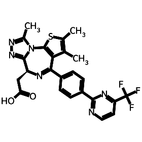 Cc1sc2c(c1C)C(c1ccc(-c3nccc(C(F)(F)F)n3)cc1)=N[C@@H](CC(=O)O)c1nnc(C)n1-2